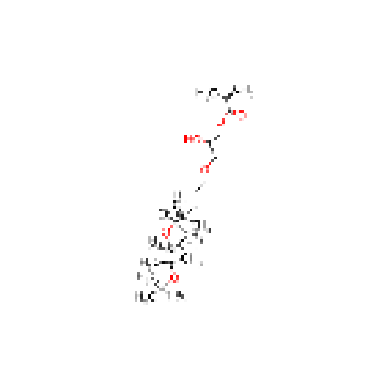 C=C(C)C(=O)OCC(O)COCCC[Si](C)(C)C(C)(CC)O[Si](C)(C)C(C)(C)O[Si](C)(C)CCCC